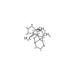 CC1CC2CCCC(C1C)C2CS1(C)CCCC1C